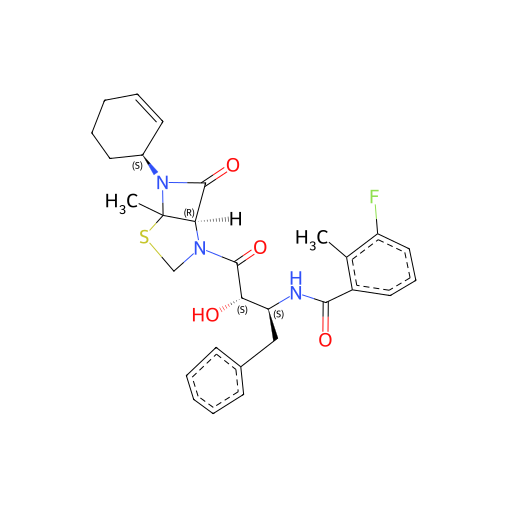 Cc1c(F)cccc1C(=O)N[C@@H](Cc1ccccc1)[C@H](O)C(=O)N1CSC2(C)[C@H]1C(=O)N2[C@@H]1C=CCCC1